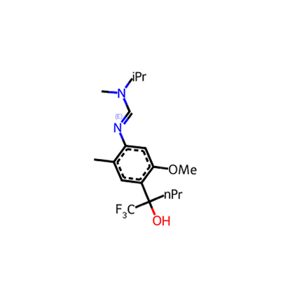 CCCC(O)(c1cc(C)c(/N=C/N(C)C(C)C)cc1OC)C(F)(F)F